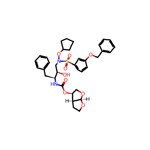 O=C(N[C@@H](Cc1ccccc1)[C@H](O)CN(OC1CCCC1)S(=O)(=O)c1cccc(OCc2ccccc2)c1)O[C@H]1CO[C@H]2OCC[C@H]21